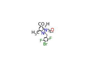 Cc1cc(C(=O)O)cc2c1nc(Cc1cc(F)c(Br)cc1F)n2C[C@@H]1CCO1